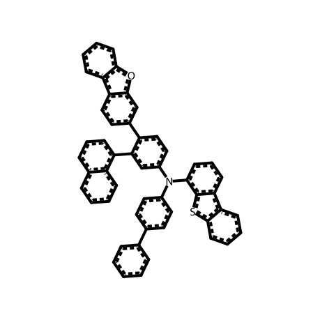 c1ccc(-c2ccc(N(c3ccc(-c4ccc5c(c4)oc4ccccc45)c(-c4cccc5ccccc45)c3)c3cccc4c3sc3ccccc34)cc2)cc1